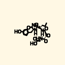 CCC[C@H](NC(=O)C1O[C@@H]1C(=O)NCC(=O)O)C(=O)N[C@@H](Cc1ccc(O)cc1)C(N)=O